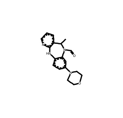 CC1c2cccnc2Nc2ccc(N3CCOCC3)cc2N1C=O